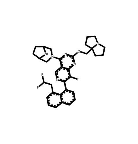 Fc1c(-c2cccc3cccc(CC(F)F)c23)ncc2c(N3CC4CCC(C3)N4)nc(OCC34CCCN3CCC4)nc12